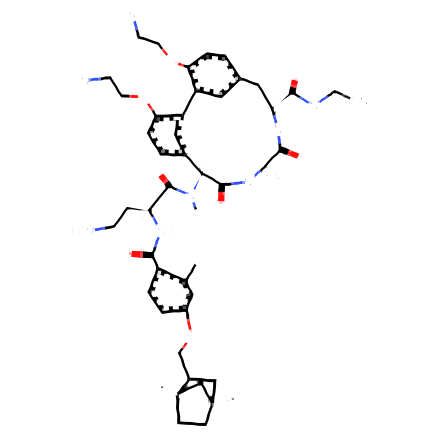 Cc1cc(OCC2C[C@H]3CC[C@@H]2C3)ccc1C(=O)N[C@@H](CCN)C(=O)N(C)[C@@H]1C(=O)N[C@@H](C)C(=O)N[C@H](C(=O)NCC#N)Cc2ccc(OCCN)c(c2)-c2cc1ccc2OCCN